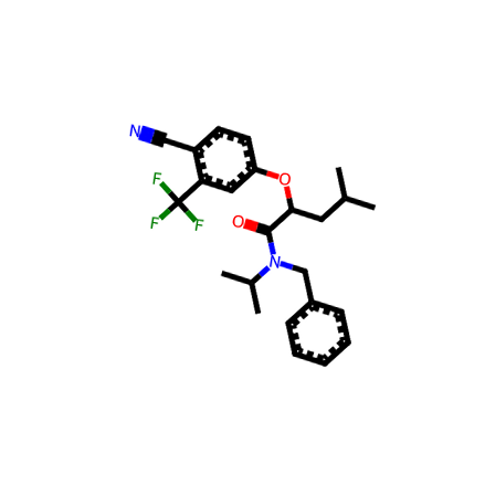 CC(C)CC(Oc1ccc(C#N)c(C(F)(F)F)c1)C(=O)N(Cc1ccccc1)C(C)C